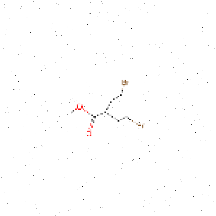 COC(=O)C(CCBr)CCBr